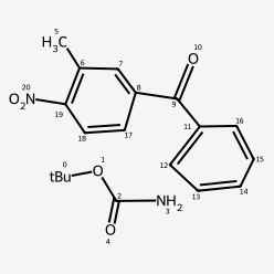 CC(C)(C)OC(N)=O.Cc1cc(C(=O)c2ccccc2)ccc1[N+](=O)[O-]